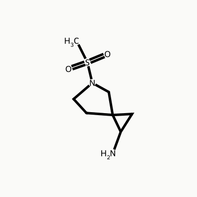 CS(=O)(=O)N1CCC2(CC2N)C1